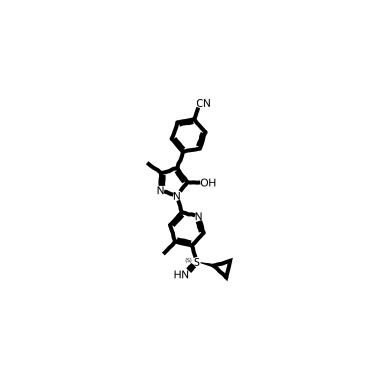 Cc1cc(-n2nc(C)c(-c3ccc(C#N)cc3)c2O)ncc1[S@](=N)C1CC1